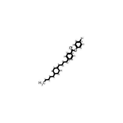 CCCCCC1CCC(CCCCc2ccc(C(=O)Oc3ccc(I)cc3)cc2)CC1